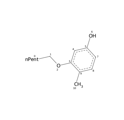 CCCCCCOc1cc(O)ccc1C